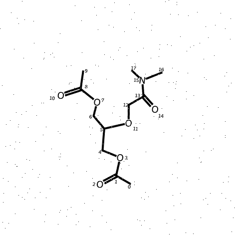 CC(=O)OCC(COC(C)=O)OCC(=O)N(C)C